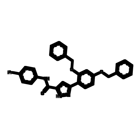 CC(C)c1ccc(NC(=O)c2cc(-c3ccc(OCc4ccccc4)cc3OCc3ccccc3)n[nH]2)cc1